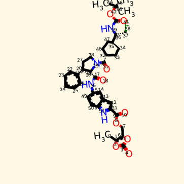 Cc1oc(=O)oc1COC(=O)c1cc2cc(NC(=O)[C@@H]3[C@@H](c4ccccc4)CCN3C(=O)[C@H]3CC[C@H]([C@@H](CF)NC(=O)OC(C)(C)C)CC3)ccc2[nH]1